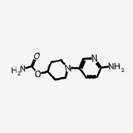 NC(=O)OC1CCN(c2ccc(N)nc2)CC1